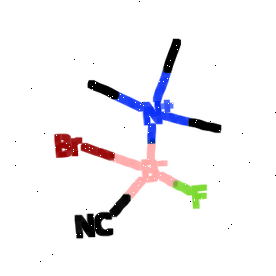 C[N+](C)(C)[B-](F)(Br)C#N